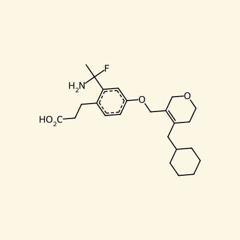 CC(N)(F)c1cc(OCC2=C(CC3CCCCC3)CCOC2)ccc1CCC(=O)O